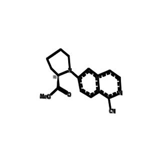 COC(=O)[C@H]1CCCCN1c1ccc2c(C#N)nccc2c1